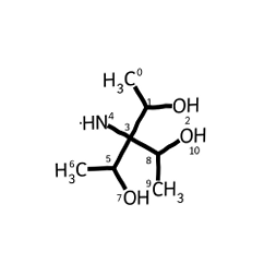 CC(O)C([NH])(C(C)O)C(C)O